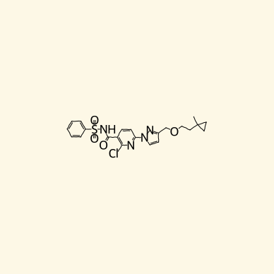 CC1(CCOCc2ccn(-c3ccc(C(=O)NS(=O)(=O)c4ccccc4)c(Cl)n3)n2)CC1